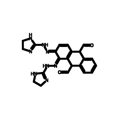 O=CC1C2=C(C(=NNC3=NCCN3)C(=NNC3=NCCN3)C=C2)C(C=O)c2ccccc21